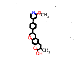 COc1cc(-c2ccc(C3COc4ccc(CC(C)C(=O)O)cc4C3)cc2)ccn1